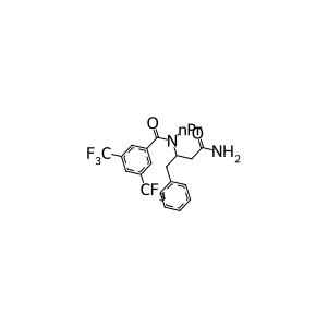 CCCN(C(=O)c1cc(C(F)(F)F)cc(C(F)(F)F)c1)C(CC(N)=O)Cc1ccccc1